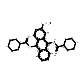 O=C(O)c1ccc2c(OC(=O)C3CCCCC3)c3ccccc3c(OC(=O)C3CCCCC3)c2c1